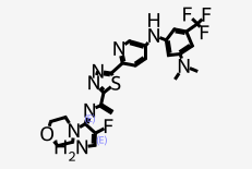 C=C(/N=C(\C(F)=C/N)N1CCOCC1)c1nnc(-c2ccc(Nc3cc(N(C)C)cc(C(F)(F)F)c3)cn2)s1